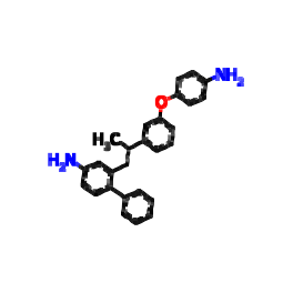 CC(Cc1cc(N)ccc1-c1ccccc1)c1cccc(Oc2ccc(N)cc2)c1